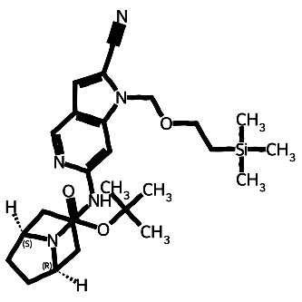 CC(C)(C)OC(=O)N1[C@@H]2CC[C@H]1CC(Nc1cc3c(cn1)cc(C#N)n3COCC[Si](C)(C)C)C2